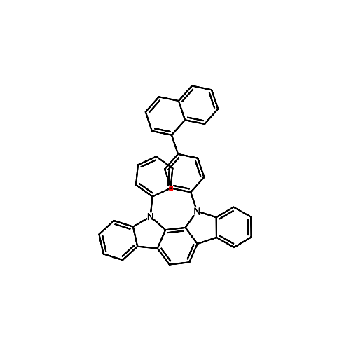 c1ccc(-n2c3ccccc3c3ccc4c5ccccc5n(-c5ccc(-c6cccc7ccccc67)cc5)c4c32)cc1